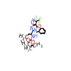 CCC(NC(=O)OC(C)(C)C)c1nc2onc(C(F)(F)F)c2c(=O)n1Cc1ccccc1